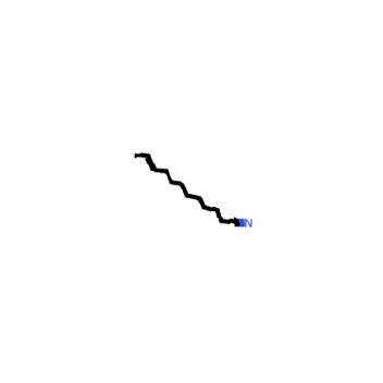 C/C=C/CCCCCCCCC#N